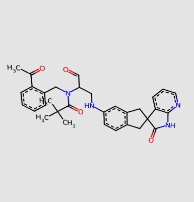 CC(=O)c1ccccc1CN(C(=O)C(C)(C)C)C(C=O)CNc1ccc2c(c1)CC1(C2)C(=O)Nc2ncccc21